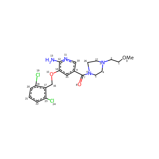 COCCN1CCN(C(=O)c2cnc(N)c(OCc3c(Cl)cccc3Cl)c2)CC1